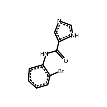 O=C(Nc1ccccc1Br)c1cnc[nH]1